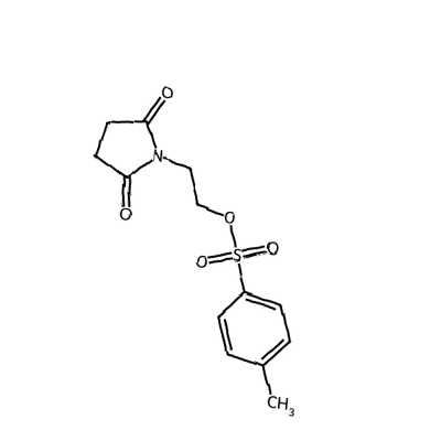 Cc1ccc(S(=O)(=O)OCCN2C(=O)CCC2=O)cc1